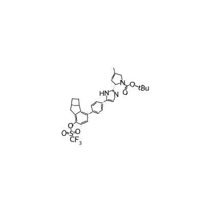 CC1=C[C@@H](c2ncc(-c3ccc(-c4ccc(OS(=O)(=O)C(F)(F)F)c5c4C4CCC4C5)cc3)[nH]2)N(C(=O)OC(C)(C)C)C1